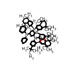 CC(C)(C)c1ccc2c(c1)B1c3cc4c(cc3N(c3ccc5c(c3)C(C)(C)CCC5(C)C)c3cc(N(c5ccccc5)c5ccccc5)cc(c31)N2c1ccc(C(C)(C)C)cc1-c1ccc2c(c1)C(C)(C)CCC2(C)C)C(C)(C)CCC4(C)C